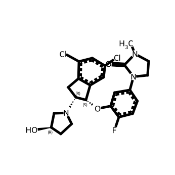 CN1CCN(c2ccc(F)c(O[C@H]3c4cc(Cl)cc(Cl)c4C[C@H]3N3CC[C@@H](O)C3)c2)C1=O